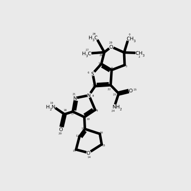 CC1(C)Cc2c(sc(-n3cc(C4=CCOCC4)c(C(N)=O)n3)c2C(N)=O)C(C)(C)O1